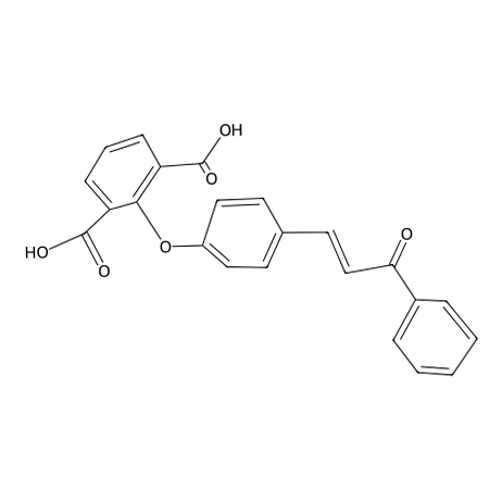 O=C(C=Cc1ccc(Oc2c(C(=O)O)cccc2C(=O)O)cc1)c1ccccc1